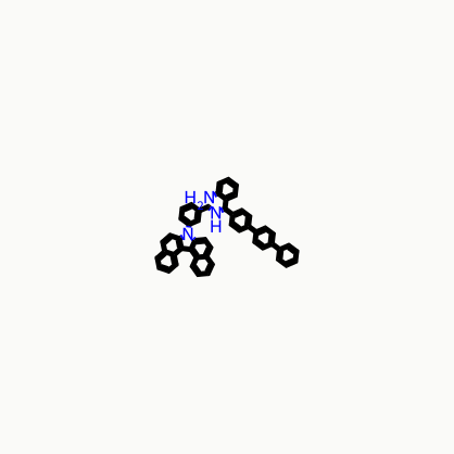 Nc1ccccc1C(NCc1cccc(-n2c3ccc4ccccc4c3c3c4ccccc4ccc32)c1)c1ccc(-c2ccc(-c3ccccc3)cc2)cc1